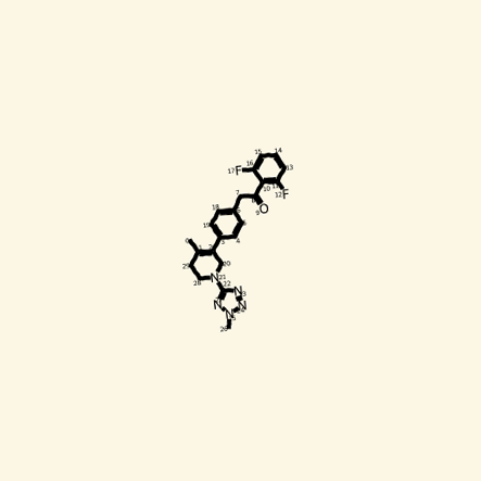 CC1=C(c2ccc(CC(=O)c3c(F)cccc3F)cc2)CN(c2nnn(C)n2)CC1